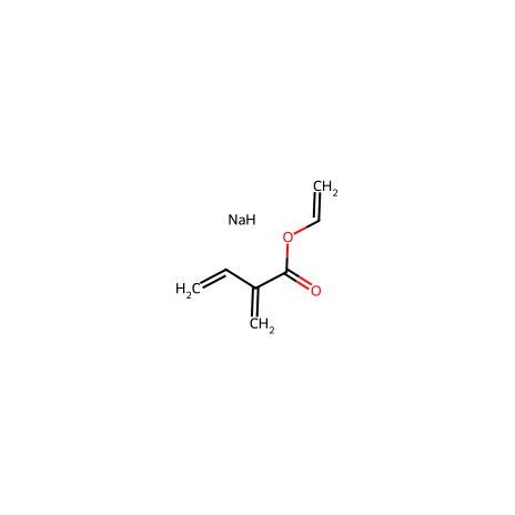 C=COC(=O)C(=C)C=C.[NaH]